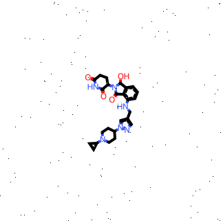 O=C1CCC(N2C(=O)c3c(NCc4cnn(C5CCN(C6CC6)CC5)c4)cccc3C2O)C(=O)N1